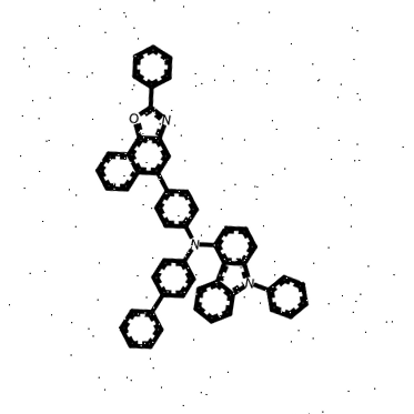 c1ccc(-c2ccc(N(c3ccc(-c4cc5nc(-c6ccccc6)oc5c5ccccc45)cc3)c3cccc4c3c3ccccc3n4-c3ccccc3)cc2)cc1